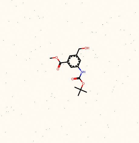 COC(=O)c1cc(CO)cc(NC(=O)OC(C)(C)C)c1